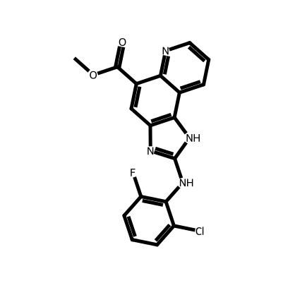 COC(=O)c1cc2nc(Nc3c(F)cccc3Cl)[nH]c2c2cccnc12